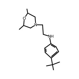 CC1CN(CCNc2ccc(C(C)(C)C)cc2)CC(C)O1